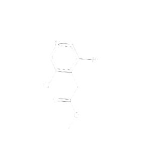 COC(=O)Cc1c(Cl)cncc1Br